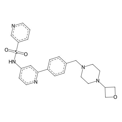 O=S(=O)(Nc1ccnc(-c2ccc(CN3CCN(C4COC4)CC3)cc2)c1)c1cccnc1